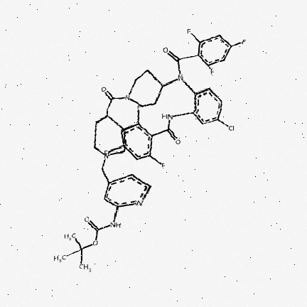 CC(C)(C)OC(=O)Nc1cc(CN2CCC(C(=O)N3CCC(N(C(=O)c4c(F)cc(F)cc4F)c4ccc(Cl)cc4NC(=O)c4c(F)cc(F)cc4F)CC3)CC2)ccn1